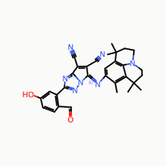 Cc1c(/N=C2\C(C#N)=C(C#N)c3nc(-c4cc(O)ccc4C=O)nn32)cc2c3c1C(C)(C)CCN3CCC2(C)C